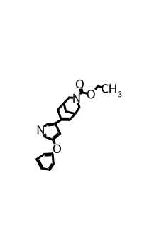 CCOC(=O)N1CC2C=C(c3cncc(Oc4ccccc4)c3)CC(C2)C1